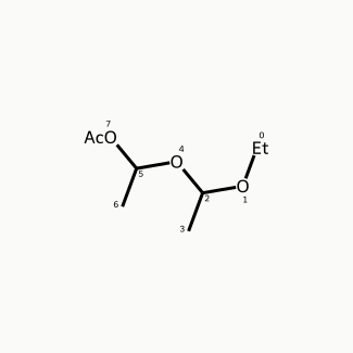 CCOC(C)OC(C)OC(C)=O